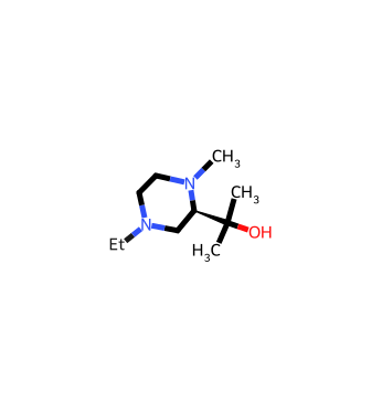 CCN1CCN(C)[C@@H](C(C)(C)O)C1